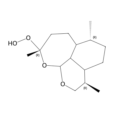 C[C@@H]1CCC2C3C(OC[C@@H]2C)O[C@](C)(OO)CCC31